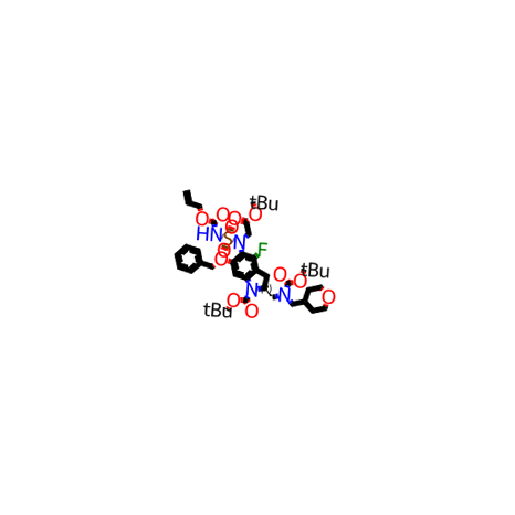 C=CCOC(=O)NS(=O)(=O)N(CC(=O)OC(C)(C)C)c1c(OCc2ccccc2)cc2c(c1F)C[C@H](CN(CC1CCOCC1)C(=O)OC(C)(C)C)N2C(=O)OC(C)(C)C